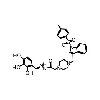 Cc1ccc(S(=O)(=O)n2cc(CN3CCN(CC(=O)NN=Cc4ccc(O)c(O)c4O)CC3)c3ccccc32)cc1